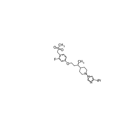 CC(C)c1cn(N2CCC([C@H](C)CCOc3ccc(CS(C)(=O)=O)c(F)c3)CC2)cn1